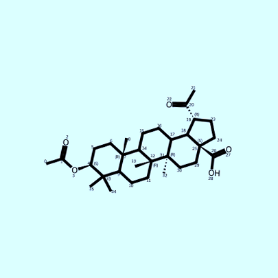 CC(=O)O[C@H]1CC[C@@]2(C)C(CC[C@]3(C)C2CCC2C4[C@H](C(C)=O)CC[C@]4(C(=O)O)CC[C@]23C)C1(C)C